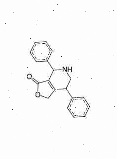 O=C1OCC2=C1C(c1ccccc1)NCC2c1ccccc1